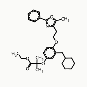 CCOC(=O)C(C)(C)Oc1ccc(OCCc2nc(-c3ccccc3)oc2C)c(CC2CCCCC2)c1